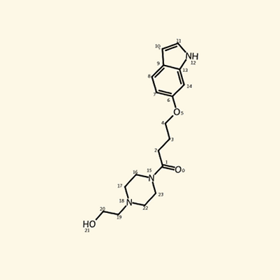 O=C(CCCOc1ccc2[c]c[nH]c2c1)N1CCN(CCO)CC1